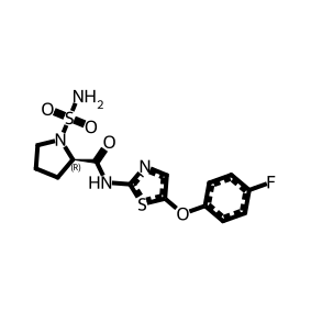 NS(=O)(=O)N1CCC[C@@H]1C(=O)Nc1ncc(Oc2ccc(F)cc2)s1